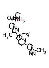 Cc1c(-c2cc3ccc(-c4ccn5c(C)nnc5c4)nc3n2CC2CC2)nn2cc(C(=O)N3CC4CCC3[C@@H]4N)ccc12